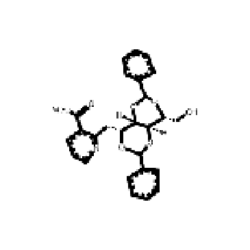 COC(=O)c1cccnc1C[C@H]1OC(c2ccccc2)O[C@H]2[C@H]1OC(c1ccccc1)O[C@@H]2CO